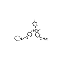 COc1ccc2c(c1)c(C)c(-c1ccc(C)cc1)n2Cc1ccc(OCCN2CCCCCC2)cc1